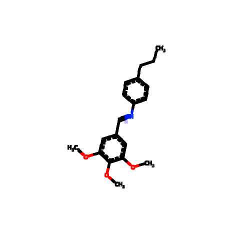 CCCc1ccc(/N=C/c2cc(OC)c(OC)c(OC)c2)cc1